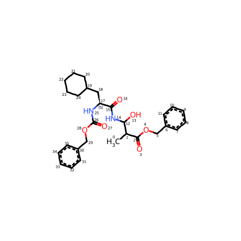 CC(C(=O)OCc1ccccc1)C(O)NC(=O)[C@H](CC1CCCCC1)NC(=O)OCc1ccccc1